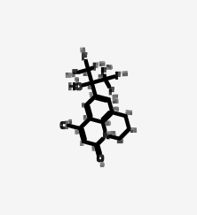 O=c1cc(Cl)c2cc(C(O)(C(F)(F)F)C(F)(F)F)cc3c2n1CCC3